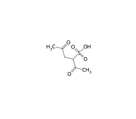 CC(=O)CC(C(C)=O)S(=O)(=O)O